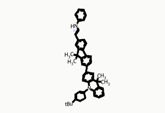 CC(C)(C)C1=CC=C(N2c3ccccc3C(C)(C)c3cc(-c4ccc5c(c4)C(C)(C)c4cc(/C=C/Nc6ccccc6)ccc4-5)ccc32)CC1